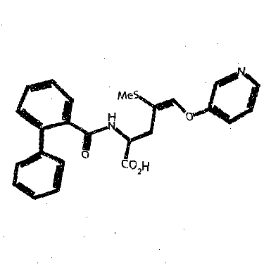 CSC(=COc1cccnc1)CC(NC(=O)c1ccccc1-c1ccccc1)C(=O)O